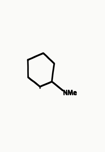 CNC1[CH]CCCC1